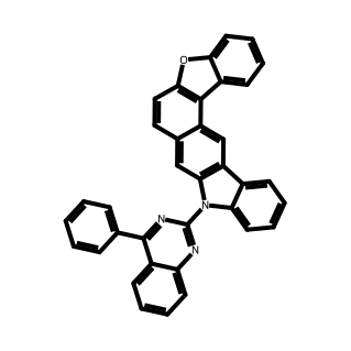 c1ccc(-c2nc(-n3c4ccccc4c4cc5c(ccc6oc7ccccc7c65)cc43)nc3ccccc23)cc1